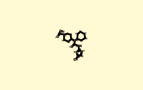 CCCCC(=O)N1CCC(N(C(=O)Nc2ncc(Cl)s2)C2CCCCC2)CC1